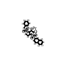 CCCC1C(=O)N(S(=O)(=O)c2ccc3ccccc3c2)C2CCN(S(=O)(=O)Cc3ccccc3)C12